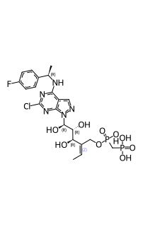 C/C=C(/COP(=O)(O)CP(=O)(O)O)[C@@H](O)[C@@H](O)[C@@H](O)n1ncc2c(N[C@H](C)c3ccc(F)cc3)nc(Cl)nc21